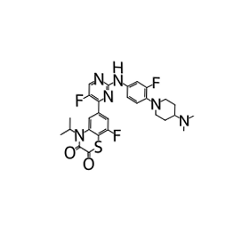 CC(C)n1c(=O)c(=O)sc2c(F)cc(-c3nc(Nc4ccc(N5CCC(N(C)C)CC5)c(F)c4)ncc3F)cc21